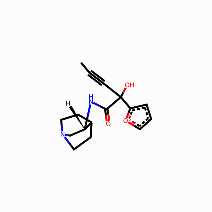 CC#CC(O)(C(=O)N[C@H]1CN2CCC1CC2)c1ccco1